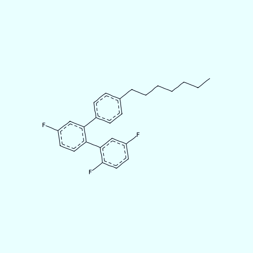 CCCCCCCc1ccc(-c2cc(F)ccc2-c2cc(F)ccc2F)cc1